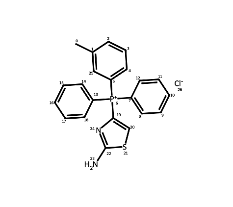 Cc1cccc([P+](c2ccccc2)(c2ccccc2)c2csc(N)n2)c1.[Cl-]